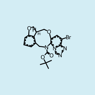 CC(C)(C)OC(=O)N1Cc2cccc3c2[C@H](CO3)COc2cc(Br)c3nncn3c21